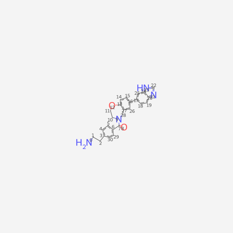 NCCc1ccc(C(=O)N2CCOc3ccc(-c4ccc5nc[nH]c5c4)cc3C2)cc1